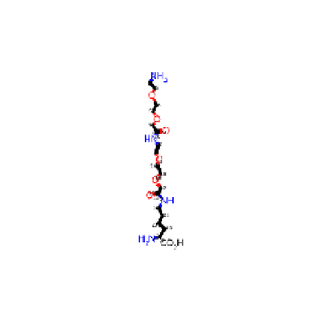 NCCOCCOCC(=O)NCCOCCOCC(=O)NCCCC[C@H](N)C(=O)O